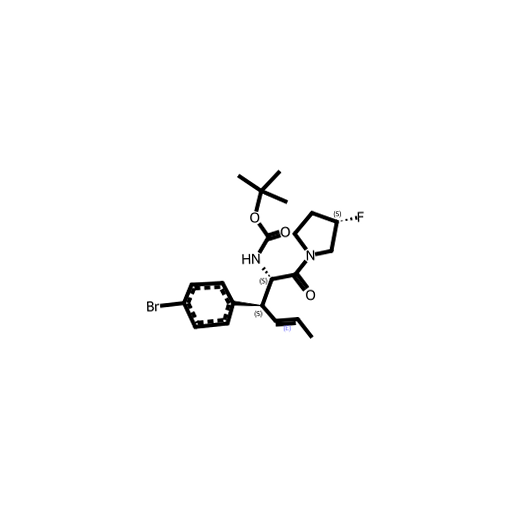 C/C=C/[C@@H](c1ccc(Br)cc1)[C@H](NC(=O)OC(C)(C)C)C(=O)N1CC[C@H](F)C1